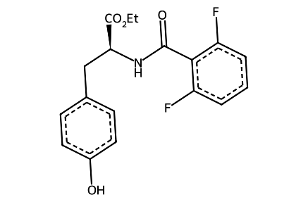 CCOC(=O)[C@H](Cc1ccc(O)cc1)NC(=O)c1c(F)cccc1F